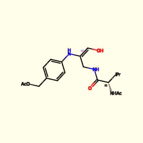 CC(=O)N[C@H](C(=O)NC/C(=C\O)Nc1ccc(COC(C)=O)cc1)C(C)C